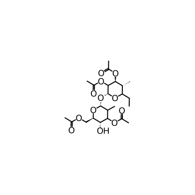 CCC1O[C@H](O[C@H]2O[C@H](COC(C)=O)[C@@H](O)C(OC(C)=O)C2C)C(OC(C)=O)[C@@H](OC(C)=O)[C@@H]1C